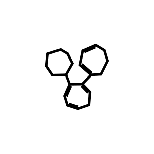 [C]1=C(C2=CC=CCCC2)C(C2CCCCCC2)=CC=CC1